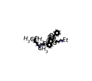 CC/C=C/CCOc1c(OC(=O)c2ccccc2)c(=O)oc2c(OC/C=C(\C)CCC=C(C)C)cccc12